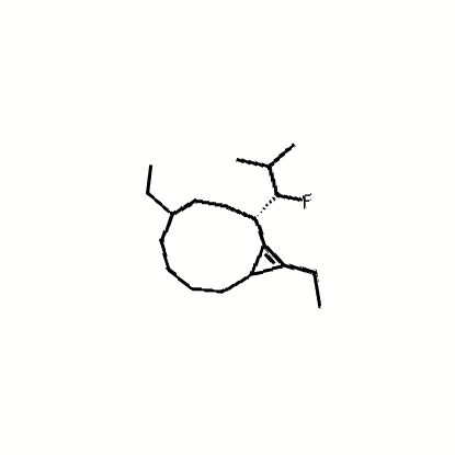 CCC1=C2C1CCCCC(CC)CC[C@@H]2C(F)C(C)C